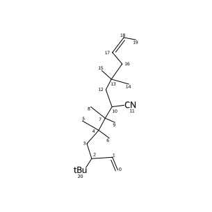 C=CC(CC(C)(C)C(C)(C)C(C#N)CC(C)(C)C/C=C\C)C(C)(C)C